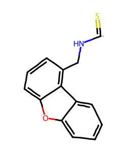 S=[C]NCc1cccc2oc3ccccc3c12